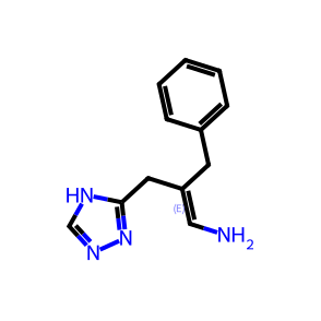 N/C=C(\Cc1ccccc1)Cc1nnc[nH]1